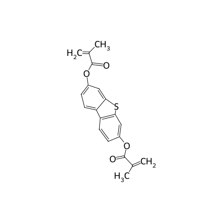 C=C(C)C(=O)Oc1ccc2c(c1)sc1cc(OC(=O)C(=C)C)ccc12